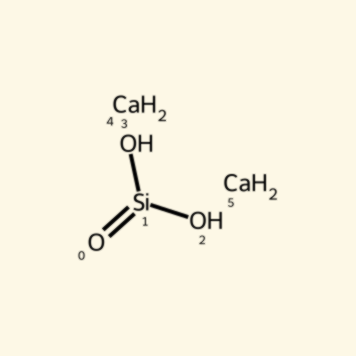 O=[Si](O)O.[CaH2].[CaH2]